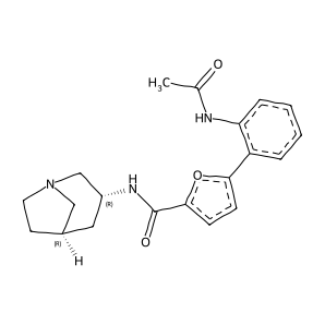 CC(=O)Nc1ccccc1-c1ccc(C(=O)N[C@@H]2C[C@H]3CCN(C3)C2)o1